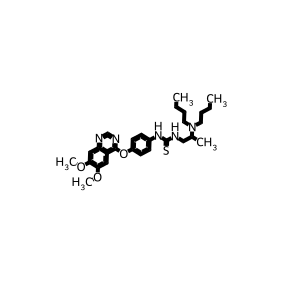 CCCCN(CCCC)C(C)CNC(=S)Nc1ccc(Oc2ncnc3cc(OC)c(OC)cc23)cc1